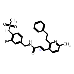 Cc1ccc(/C=C/C(=O)NCc2ccc(NS(C)(=O)=O)c(F)c2)c(CCc2ccccc2)n1